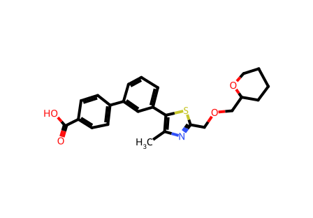 Cc1nc(COCC2CCCCO2)sc1-c1cccc(-c2ccc(C(=O)O)cc2)c1